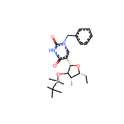 CC[C@H]1O[C@@H](c2cn(Cc3ccccc3)c(=O)[nH]c2=O)C(O[Si](C)(C)C(C)(C)C)[C@H]1C